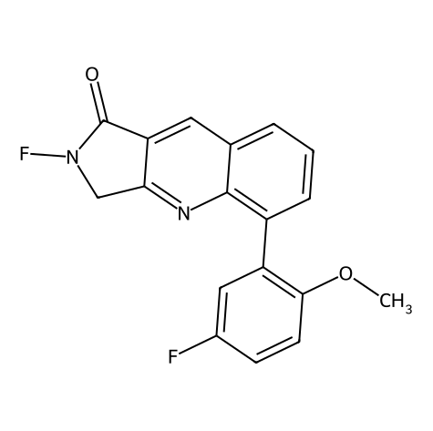 COc1ccc(F)cc1-c1cccc2cc3c(nc12)CN(F)C3=O